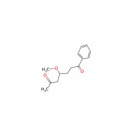 COC(CCC(=O)c1ccccc1)CC(C)=O